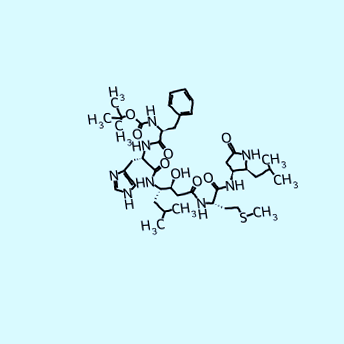 CSCC[C@H](NC(=O)C[C@H](O)[C@H](CC(C)C)NC(=O)[C@H](Cc1c[nH]cn1)NC(=O)[C@H](Cc1ccccc1)NC(=O)OC(C)(C)C)C(=O)N[C@H]1CC(=O)N[C@H]1CC(C)C